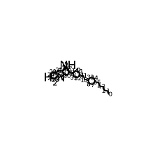 CCCCCCC1CCC(CCC2CCC(c3cc(N)c(Cc4ccccc4)c(N)c3)CC2)CC1